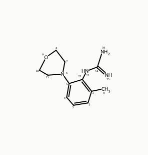 Cc1cccc(N2CCOCC2)c1NC(=N)N